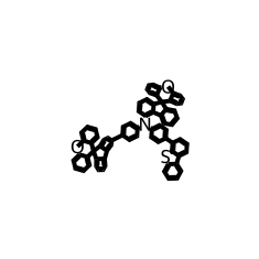 c1ccc2c(c1)Oc1ccccc1C21c2ccccc2-c2cc(-c3ccc(N(c4ccc(-c5cccc6c5sc5ccccc56)cc4)c4cccc5c4-c4ccccc4C54c5ccccc5Oc5ccccc54)cc3)ccc21